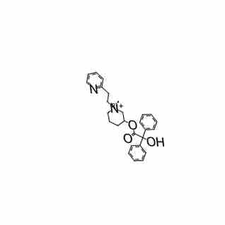 C[N@+]1(CCc2ccccn2)CCCC(OC(=O)C(O)(c2ccccc2)c2ccccc2)C1